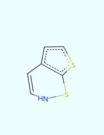 C1=Cc2ccsc2SN1